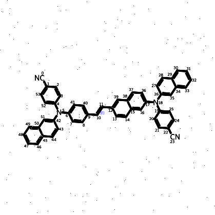 N#Cc1ccc(N(c2ccc(/C=C/c3ccc4cc(N(c5ccc(C#N)cc5)c5ccc6ccccc6c5)ccc4c3)cc2)c2ccc3ccccc3c2)cc1